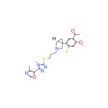 COc1cc(F)c(C23C[C@@H]2CN(CCCSc2nnc(-c4ocnc4C)n2C)C3)cc1C(C)=O